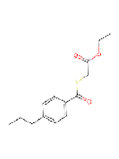 CCCc1ccc(C(=O)SCC(=O)OCC)cc1